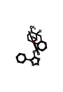 CN1CC[C@]23CC(=O)CC[C@H]2[C@H]1Cc1cccc(Oc2nnnn2-c2ccccc2)c13